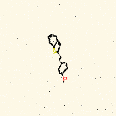 COc1ccc(/C=C/c2cc3ccccc3s2)cc1